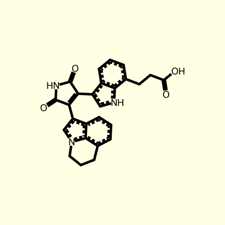 O=C(O)CCc1cccc2c(C3=C(c4cn5c6c(cccc46)CCC5)C(=O)NC3=O)c[nH]c12